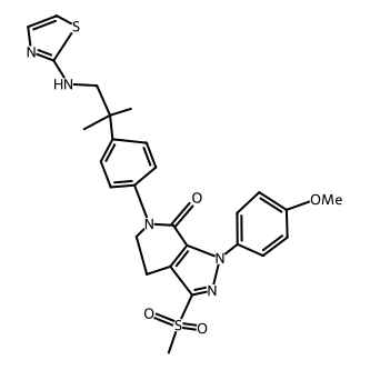 COc1ccc(-n2nc(S(C)(=O)=O)c3c2C(=O)N(c2ccc(C(C)(C)CNc4nccs4)cc2)CC3)cc1